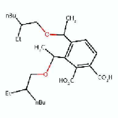 CCCCC(CC)COC(C)c1ccc(C(=O)O)c(C(=O)O)c1C(C)OCC(CC)CCCC